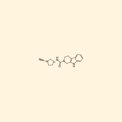 N#CN1CC[C@@H](NC(=O)N2CCc3c([nH]c4ccccc34)C2)C1